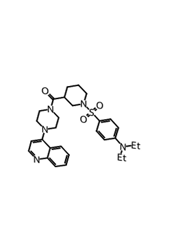 CCN(CC)c1ccc(S(=O)(=O)N2CCCC(C(=O)N3CCN(c4ccnc5ccccc45)CC3)C2)cc1